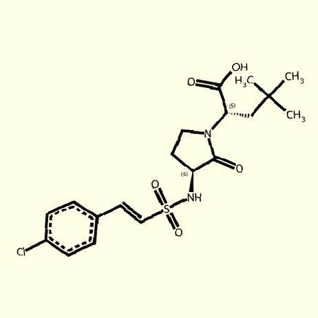 CC(C)(C)C[C@@H](C(=O)O)N1CC[C@H](NS(=O)(=O)C=Cc2ccc(Cl)cc2)C1=O